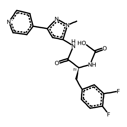 Cn1nc(-c2ccncc2)cc1NC(=O)[C@H](Cc1ccc(F)c(F)c1)NC(=O)O